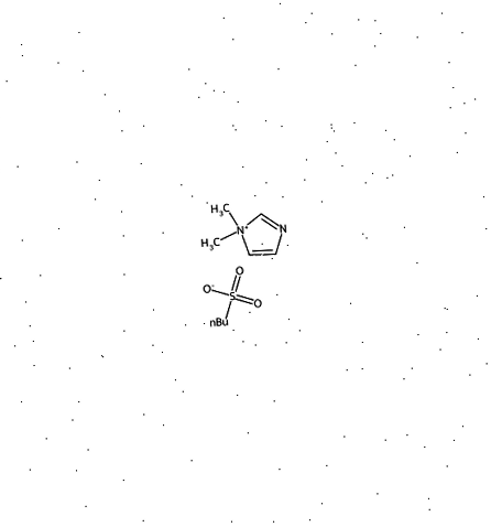 CCCCS(=O)(=O)[O-].C[N+]1(C)C=CN=C1